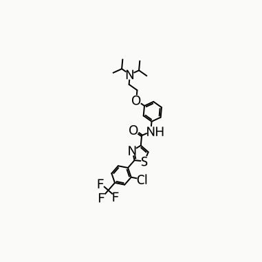 CC(C)N(CCOc1cccc(NC(=O)c2csc(-c3ccc(C(F)(F)F)cc3Cl)n2)c1)C(C)C